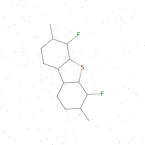 CC1CCC2C3CCC(C)C(F)C3SC2C1F